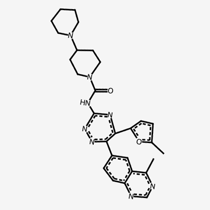 Cc1ccc(-c2nc(NC(=O)N3CCC(N4CCCCC4)CC3)nnc2-c2ccc3ncnc(C)c3c2)o1